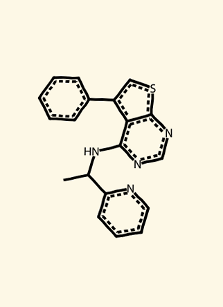 CC(Nc1ncnc2scc(-c3ccccc3)c12)c1ccccn1